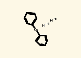 I.I.I.I.c1cc[c]([Cu][c]2ccccc2)cc1